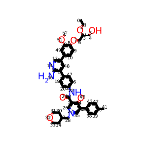 CCO[C@@H](CO)COc1ccc(-c2cnc(N)c(-c3ccc(NC(=O)c4cn(CC5CCOCC5)cc(-c5ccc(C)cc5)c4=O)cc3)c2)cc1OC